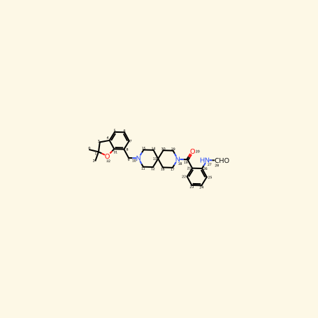 CC1(C)Cc2cccc(CN3CCC4(CC3)CCN(C(=O)c3ccccc3NC=O)CC4)c2O1